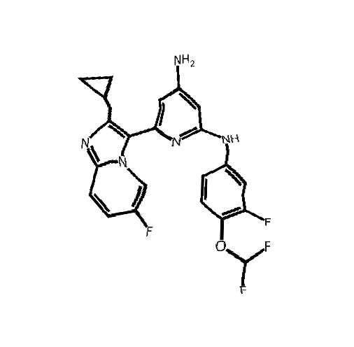 Nc1cc(Nc2ccc(OC(F)F)c(F)c2)nc(-c2c(C3CC3)nc3ccc(F)cn23)c1